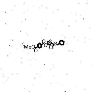 COC(=O)c1ccc(C(=O)O[C@@H]2COC3C2OC[C@@H]3OCc2ccccc2)cc1